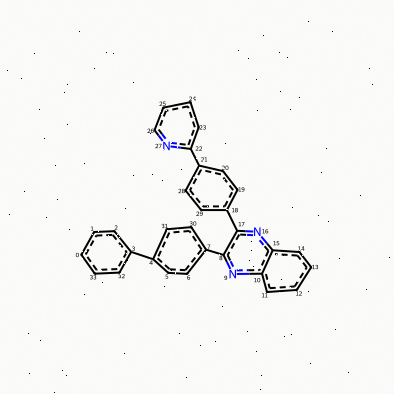 c1ccc(-c2ccc(-c3nc4ccccc4nc3-c3ccc(-c4ccccn4)cc3)cc2)cc1